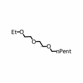 CCCCCCO[CH]COCCOCC